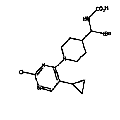 CC(C)(C)C(NC(=O)O)C1CCN(c2nc(Cl)ncc2C2CC2)CC1